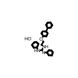 Cl.c1ccc(/N=C(\NCCOc2ccc(-c3ccccc3)cc2)Nc2ccccc2)cc1